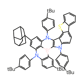 CC(C)(C)c1ccc(N2c3ccc(C(C)(C)C)cc3B3c4c2cc(C25CC6CC(CC(C6)C2)C5)cc4N(c2ccc(C(C)(C)C)cc2)c2c3n(-c3ccc(C(C)(C)C)cc3)c3ccc4c5ccccc5sc4c23)cc1